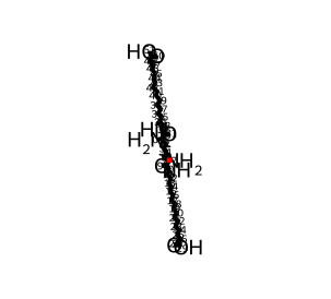 NC(CSSCC(N)C(=O)NCCCCCCCCCCCCCCCCC(=O)O)C(=O)NCCCCCCCCCCCCCCCCC(=O)O